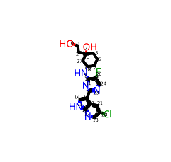 OCC[C@]1(O)CCC[C@H](Nc2nc(-c3c[nH]c4ncc(Cl)cc34)ncc2F)C1